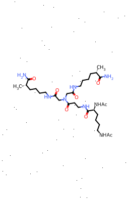 CC(=O)NCCCC[C@H](NC(C)=O)C(=O)NCCC(=O)N(CC(=O)NCCCC[C@H](C)C(N)=O)CC(=O)NCCCC[C@H](C)C(N)=O